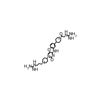 N=C(N)NCCCN1CCC(n2cc3c(nc2=O)Nc2cc(C4CCN(C(=O)CNC(=N)N)CC4)ccc2O3)CC1